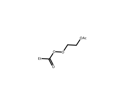 CCC(=O)OOCCOC(C)=O